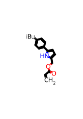 C=CC(=O)OCc1ccc(-c2ccc(C(C)CC)cc2)[nH]1